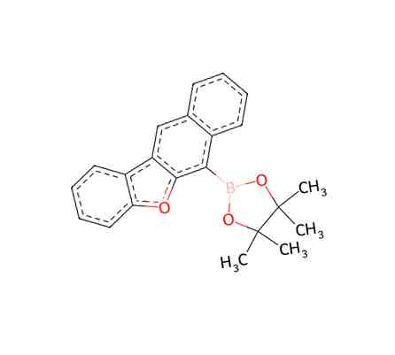 CC1(C)OB(c2c3ccccc3cc3c2oc2ccccc23)OC1(C)C